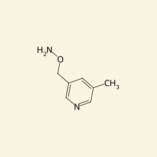 Cc1cncc(CON)c1